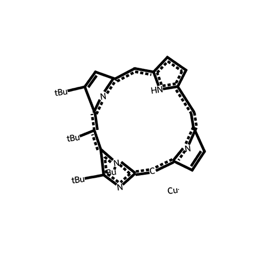 CC(C)(C)C1=Cc2cc3ccc(cc4nc(cc5nc(C(C)(C)C)c(c(C(C)(C)C)c1n2)n5C(C)(C)C)C=C4)[nH]3.[Cu]